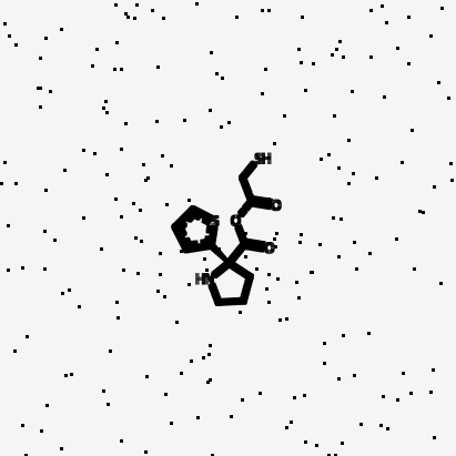 O=C(CS)OC(=O)[C@]1(c2cccs2)CCCN1